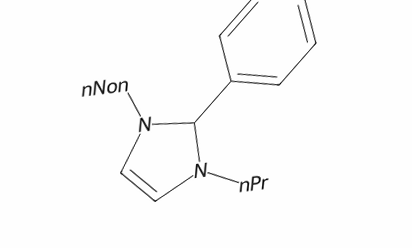 CCCCCCCCCN1C=CN(CCC)C1c1ccccc1